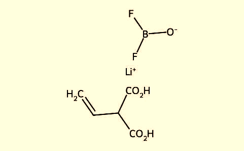 C=CC(C(=O)O)C(=O)O.[Li+].[O-]B(F)F